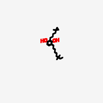 CCC(C)(C)CCCCCCc1ccc(O)c(CCCCC2(C)CC2)c1O